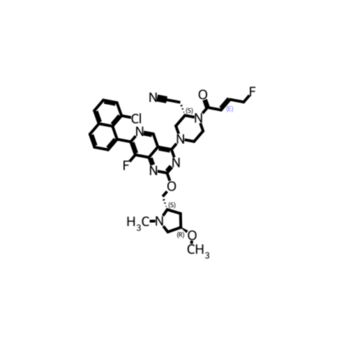 CO[C@@H]1C[C@@H](COc2nc(N3CCN(C(=O)/C=C/CF)[C@@H](CC#N)C3)c3cnc(-c4cccc5cccc(Cl)c45)c(F)c3n2)N(C)C1